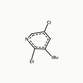 CCc1ncc(Cl)cc1C(C)(C)C